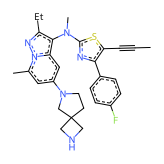 CC#Cc1sc(N(C)c2c(CC)nn3c(C)cc(N4CCC5(CNC5)C4)cc23)nc1-c1ccc(F)cc1